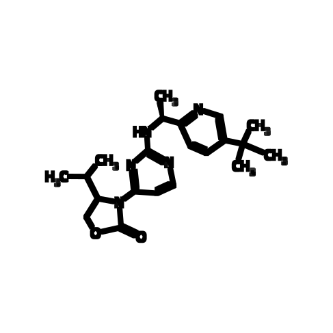 CC(C)C1COC(=O)N1c1ccnc(N[C@@H](C)c2ccc(C(C)(C)C)cn2)n1